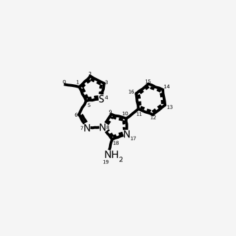 Cc1ccsc1/C=N\n1cc(-c2ccccc2)nc1N